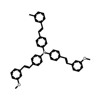 COc1cccc(C=Cc2ccc(N(c3ccc(C=Cc4cccc(C)c4)cc3)c3ccc(C=Cc4cccc(OC)c4)cc3)cc2)c1